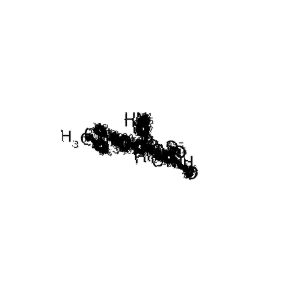 CC(C)c1ccccc1[C@@H]1CCCN1C1CC2(CCN(c3ccc(C(=O)NS(=O)(=O)c4cnc(NCC5C6COCC56)c([N+](=O)[O-])c4)c(Oc4cnc5[nH]ccc5c4)c3)CC2)C1